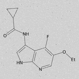 CCOc1cnc2[nH]cc(NC(=O)C3CC3)c2c1F